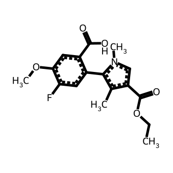 CCOC(=O)c1cn(C)c(-c2cc(F)c(OC)cc2C(=O)O)c1C